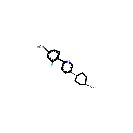 CCCCCCCCc1ccc(-c2ccc([C@H]3CC[C@H](CCCCCCCC)CC3)cn2)c(F)c1